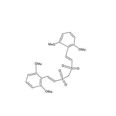 COc1cccc(OC)c1C=CS(=O)(=O)CS(=O)(=O)C=Cc1c(OC)cccc1OC